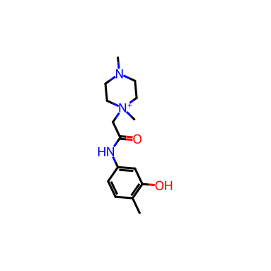 Cc1ccc(NC(=O)C[N+]2(C)CCN(C)CC2)cc1O